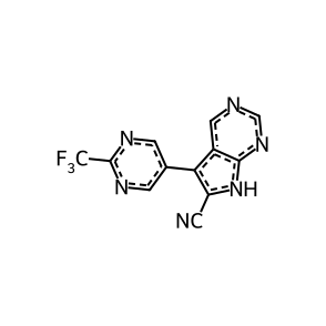 N#Cc1[nH]c2ncncc2c1-c1cnc(C(F)(F)F)nc1